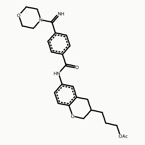 CC(=O)OCCCC1COc2ccc(NC(=O)c3ccc(C(=N)N4CCOCC4)cc3)cc2C1